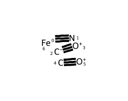 C#N.[C-]#[O+].[C-]#[O+].[Fe]